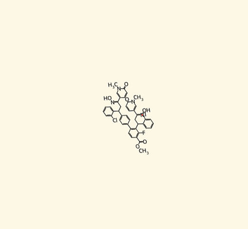 COC(=O)c1ccc(-c2ccc(C(CC(=NO)c3ccc(=O)n(C)c3)c3ccccc3Cl)cc2)c(C(CC(=NO)c2ccc(=O)n(C)c2)c2ccccc2Cl)c1F